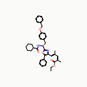 CCOC(=O)/C(C)=C\C(C)=C\c1nc([C@H](Cc2ccc(OCc3ccccc3)cc2)NC(=O)C2CCCCC2)sc1-c1ccccc1